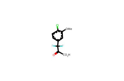 COc1cc(C(F)(F)C(=O)C(=O)O)ccc1Cl